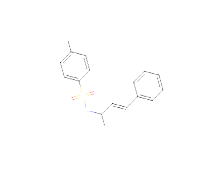 Cc1ccc(S(=O)(=O)NC(C)/C=C/c2ccccc2)cc1